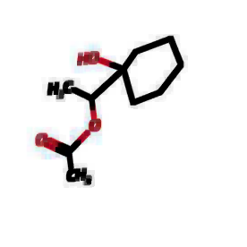 CC(=O)OC(C)C1(O)CCCCC1